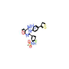 CS(=O)(=O)Nc1cc(C2=Nc3occc3C(N)N2c2ccc(-c3ccsc3)cc2)ccc1F